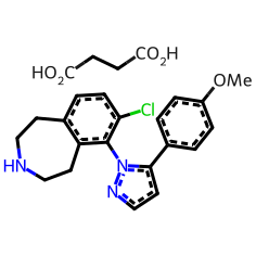 COc1ccc(-c2ccnn2-c2c(Cl)ccc3c2CCNCC3)cc1.O=C(O)CCC(=O)O